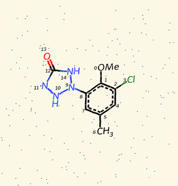 COc1c(Cl)cc(C)cc1N1N[N]C(=O)N1